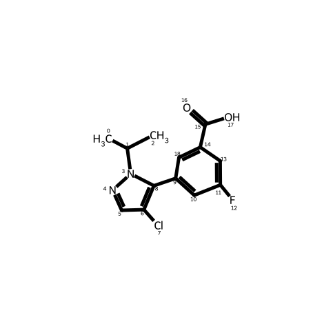 CC(C)n1ncc(Cl)c1-c1cc(F)cc(C(=O)O)c1